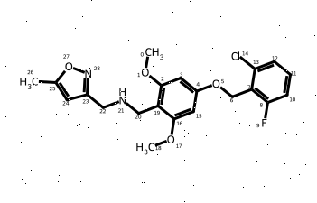 COc1cc(OCc2c(F)cccc2Cl)cc(OC)c1CNCc1cc(C)on1